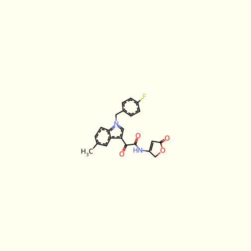 Cc1ccc2c(c1)c(C(=O)C(=O)NC1=CC(=O)OC1)cn2Cc1ccc(F)cc1